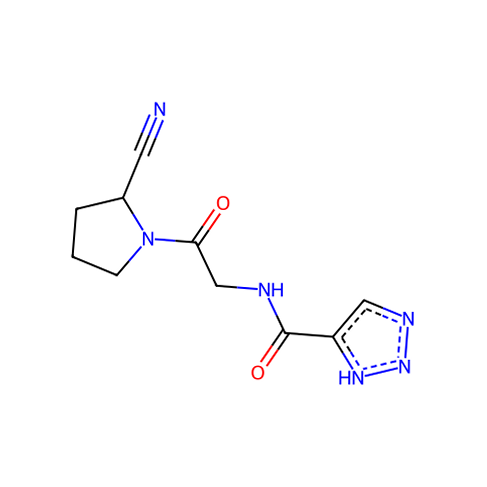 N#CC1CCCN1C(=O)CNC(=O)c1cnn[nH]1